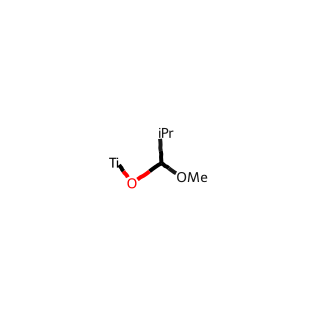 COC([O][Ti])C(C)C